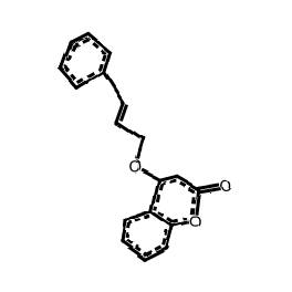 O=c1cc(OCC=Cc2ccccc2)c2ccccc2o1